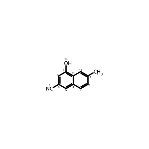 Cc1ccc2cc(C#N)cc(O)c2c1